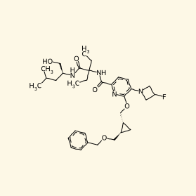 CCC(CC)(NC(=O)c1ccc(N2CC(F)C2)c(OC[C@@H]2C[C@H]2COCc2ccccc2)n1)C(=O)N[C@H](CO)CC(C)C